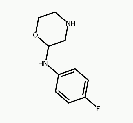 Fc1ccc(NC2CNCCO2)cc1